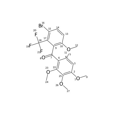 COc1cc(C)c(C(=O)c2c(OC)ccc(Br)c2C(F)(F)F)c(OC)c1OC